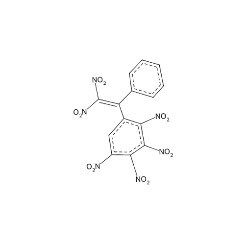 O=[N+]([O-])C(=C(c1ccccc1)c1cc([N+](=O)[O-])c([N+](=O)[O-])c([N+](=O)[O-])c1[N+](=O)[O-])[N+](=O)[O-]